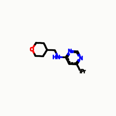 CC(C)c1cc(NCC2CCOCC2)ncn1